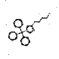 ClCCCCc1cn(C(c2ccccc2)(c2ccccc2)c2ccccc2)cn1